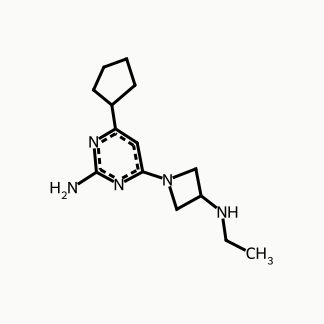 CCNC1CN(c2cc(C3CCCC3)nc(N)n2)C1